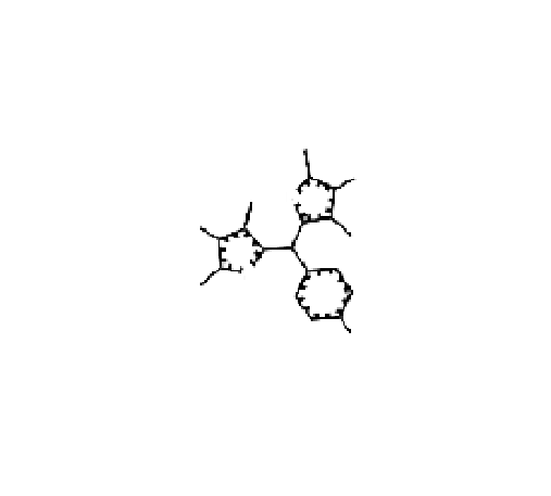 CCc1c(C)[nH]c(C(c2ccc(F)cc2)c2[nH]c(C)c(C(C)=O)c2C)c1C